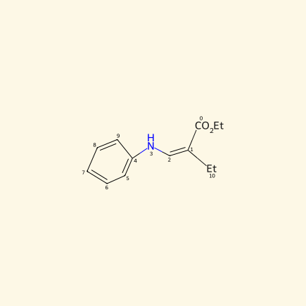 CCOC(=O)/C(=C\Nc1ccccc1)CC